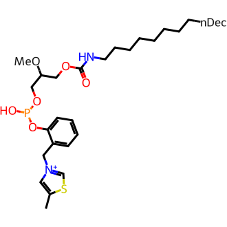 CCCCCCCCCCCCCCCCCCNC(=O)OCC(COP(O)Oc1ccccc1C[n+]1csc(C)c1)OC